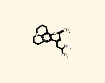 C=C1C=C(CC(C)N)c2cc3c4c(c2O1)CCCN4CCC3